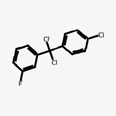 Fc1cccc(C(Cl)(Cl)c2ccc(Cl)cc2)c1